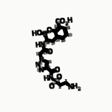 NCCS(=O)(=O)NC(=O)c1cn(CC(=O)N[C@H]2Cc3cccc(C(=O)O)c3OB2O)nn1